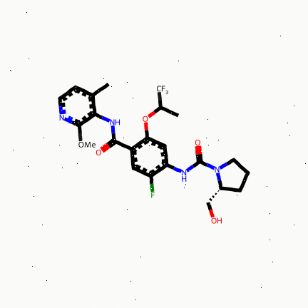 COc1nccc(C)c1NC(=O)c1cc(F)c(NC(=O)N2CCC[C@@H]2CO)cc1OC(C)C(F)(F)F